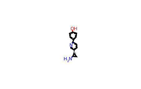 NC1C[C@@H]1c1ccc(-c2ccc(O)cc2)nc1